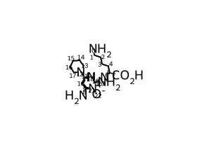 NCCCC[C@H](N)C(=O)O.Nc1cc(N2CCCCC2)nc(N)[n+]1[O-]